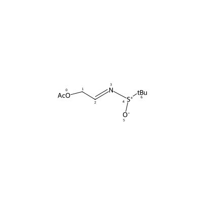 CC(=O)OCC=N[S+]([O-])C(C)(C)C